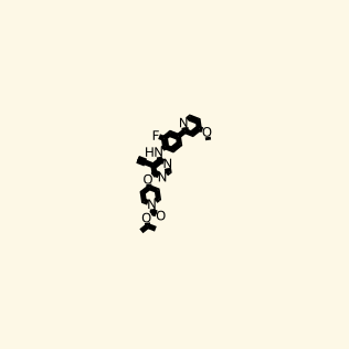 C#Cc1c(Nc2ccc(-c3cc(OC)ccn3)cc2F)ncnc1OC1CCN(C(=O)OC(C)C)CC1